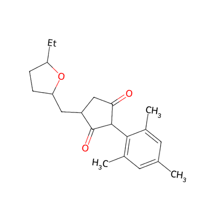 CCC1CCC(CC2CC(=O)C(c3c(C)cc(C)cc3C)C2=O)O1